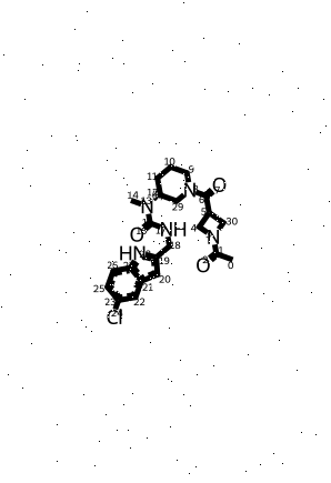 CC(=O)N1CC(C(=O)N2CCC[C@@H](N(C)C(=O)NCc3cc4cc(Cl)ccc4[nH]3)C2)C1